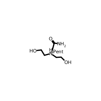 CCCCCC(N)=O.OCCNCCO